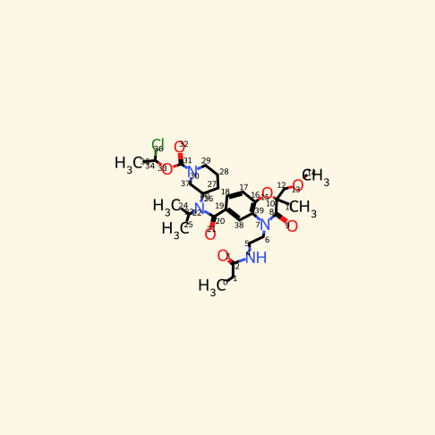 CCC(=O)NCCN1C(=O)C(C)(COC)Oc2ccc(C(=O)N(C(C)C)[C@@H]3CCCN(C(=O)OC(C)Cl)C3)cc21